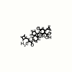 C[C@H](CC1CCC1)C(=O)N1CC[C@@](O)(Cn2cc(C(=O)O)c(C3CC3)cc2=O)C2(CCCC2)C1